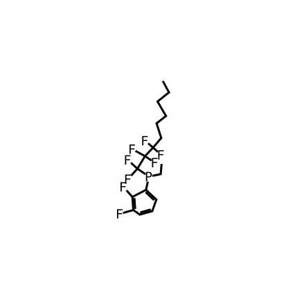 CCCCCCC(F)(F)C(F)(F)C(F)(F)P(CC)c1cccc(F)c1F